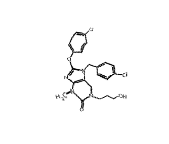 CN1C(=O)N(CCCO)Cc2c1nc(Oc1ccc(Cl)cc1)n2Cc1ccc(Cl)cc1